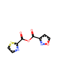 O=C(OC(=O)c1nccs1)c1ccon1